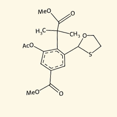 COC(=O)c1cc(OC(C)=O)c(C(C)(C)C(=O)OC)c(C2OCCS2)c1